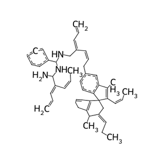 C=C/C=C(\C=C/Cc1ccc2c(c1)C(C)=C(/C=C\C)C21C/C(=C/CC)C(C)C2=C1C=CCC2)CNC(NC(N)C(/C=C\C)=C/C=C)c1ccccc1